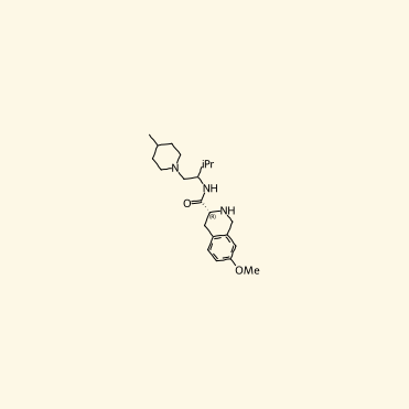 COc1ccc2c(c1)CN[C@@H](C(=O)NC(CN1CCC(C)CC1)C(C)C)C2